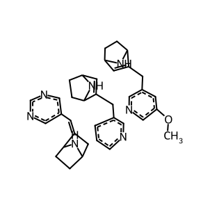 C(=C1\CC2CCC1N2)/c1cncnc1.C1=C(Cc2cccnc2)C2CCC1N2.COc1cncc(CC2=CC3CCC2N3)c1